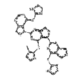 Cn1ccnc1Sc1nc(-c2scc3ncnc(Sc4ncc[nH]4)c23)nc2csc(-c3nc(Sc4nnc[nH]4)c4cscc4n3)c12